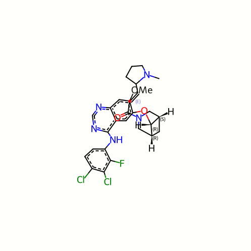 COc1cc2ncnc(Nc3ccc(Cl)c(Cl)c3F)c2cc1O[C@H]1[C@@H]2C[C@H]1CN(C(=O)/C=C/C1CCCN1C)C2